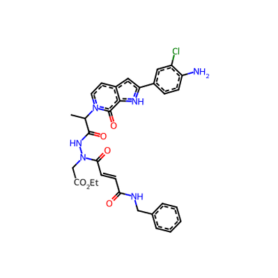 CCOC(=O)CN(NC(=O)C(C)n1ccc2cc(-c3ccc(N)c(Cl)c3)[nH]c2c1=O)C(=O)/C=C/C(=O)NCc1ccccc1